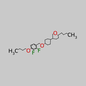 CCCCOc1ccc(COC2CCC(C3CCC(CCCC)OC3)CC2)c(F)c1F